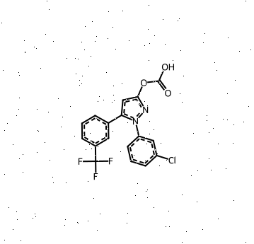 O=C(O)Oc1cc(-c2cccc(C(F)(F)F)c2)n(-c2cccc(Cl)c2)n1